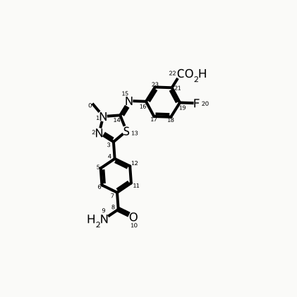 Cn1nc(-c2ccc(C(N)=O)cc2)sc1=Nc1ccc(F)c(C(=O)O)c1